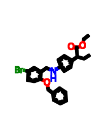 CCOC(=O)C(CC)c1ccc(NCc2cc(Br)ccc2OCc2ccccc2)cc1